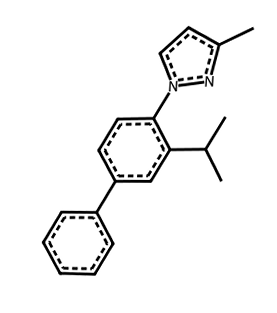 Cc1ccn(-c2ccc(-c3ccccc3)cc2C(C)C)n1